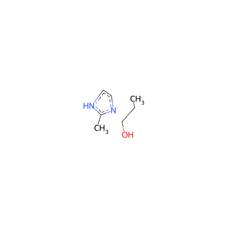 CCCO.Cc1ncc[nH]1